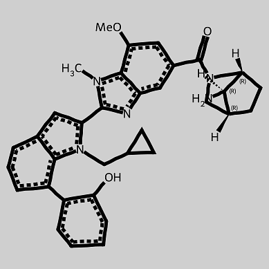 COc1cc(C(=O)N2C[C@H]3CC[C@@H]2[C@@H]3N)cc2nc(-c3cc4cccc(-c5ccccc5O)c4n3CC3CC3)n(C)c12